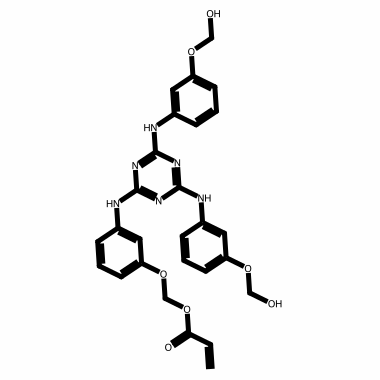 C=CC(=O)OCOc1cccc(Nc2nc(Nc3cccc(OCO)c3)nc(Nc3cccc(OCO)c3)n2)c1